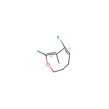 C/C1=C(C)\C(F)=C/CCCO1